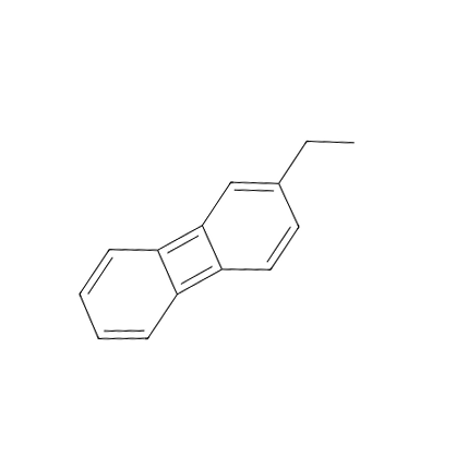 CCc1ccc2c(c1)=c1ccccc1=2